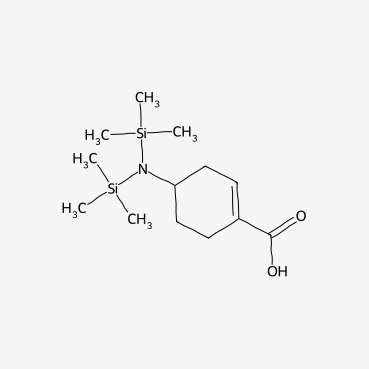 C[Si](C)(C)N(C1CC=C(C(=O)O)CC1)[Si](C)(C)C